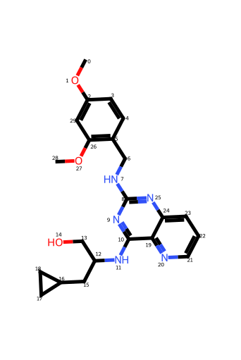 COc1ccc(CNc2nc(NC(CO)CC3CC3)c3ncccc3n2)c(OC)c1